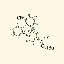 CC(C)(C)OC(=O)N1CC[C@@H](c2ccccc2)[C@@H](c2cccc(Cl)c2)C1